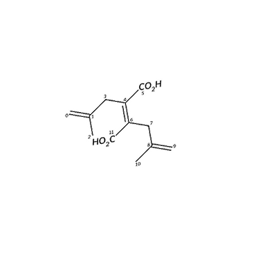 C=C(C)CC(C(=O)O)=C(CC(=C)C)C(=O)O